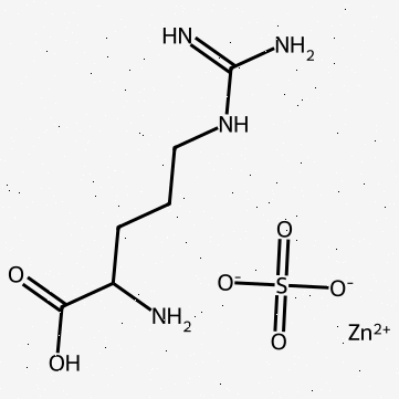 N=C(N)NCCCC(N)C(=O)O.O=S(=O)([O-])[O-].[Zn+2]